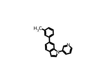 Cc1cccc(-c2ccc3ccn(-c4cccnc4)c3c2)c1